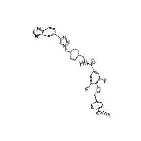 COc1ccc(COc2c(F)cc(C(=O)NCC3CCC(/C=[N+]4/C=C(c5ccc6nccnc6c5)N=N4)CC3)cc2F)cc1